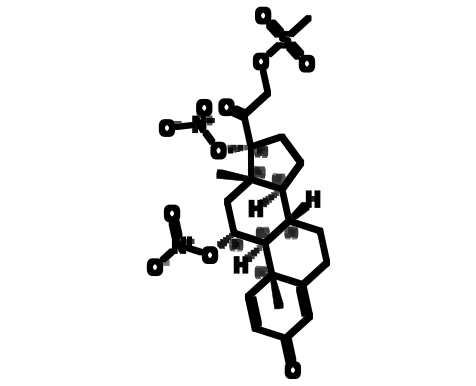 C[C@]12C=CC(=O)C=C1CC[C@@H]1[C@@H]2[C@H](O[N+](=O)[O-])C[C@@]2(C)[C@H]1CC[C@]2(O[N+](=O)[O-])C(=O)COS(C)(=O)=O